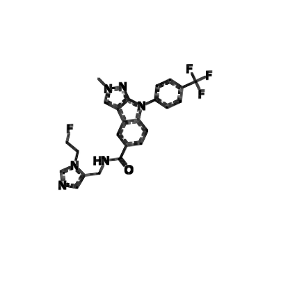 Cn1cc2c3cc(C(=O)NCc4cncn4CCF)ccc3n(-c3ccc(C(F)(F)F)cc3)c2n1